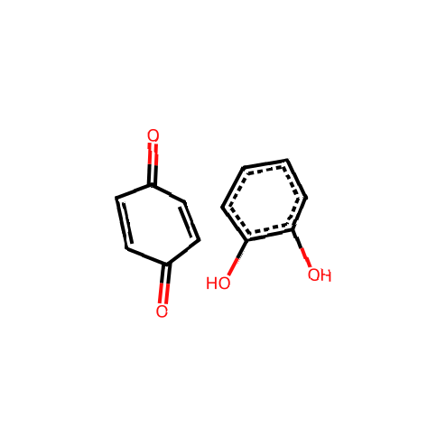 O=C1C=CC(=O)C=C1.Oc1ccccc1O